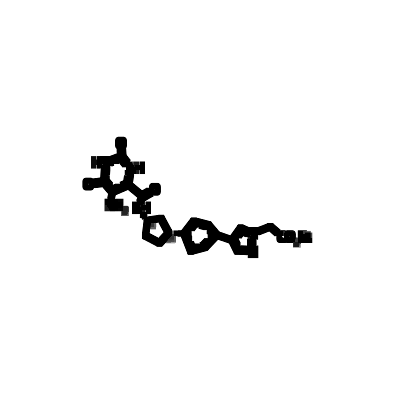 CCOC(=O)Cn1cc(-c2ccc([C@@H]3CC[C@H](NC(=O)c4[nH]c(=O)[nH]c(=O)c4N)C3)cc2)cn1